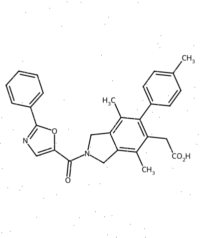 Cc1ccc(-c2c(C)c3c(c(C)c2CC(=O)O)CN(C(=O)c2cnc(-c4ccccc4)o2)C3)cc1